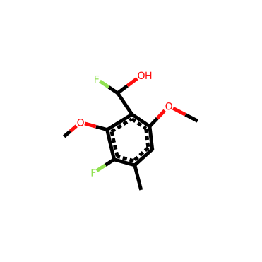 COc1cc(C)c(F)c(OC)c1C(O)F